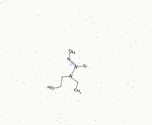 CCN(CCO)/[N+]([O-])=N/O